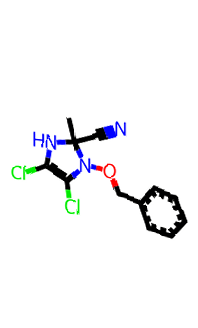 CC1(C#N)NC(Cl)=C(Cl)N1OCc1ccccc1